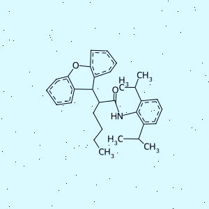 CCCCC(C(=O)Nc1c(C(C)C)cccc1C(C)C)C1c2ccccc2Oc2ccccc21